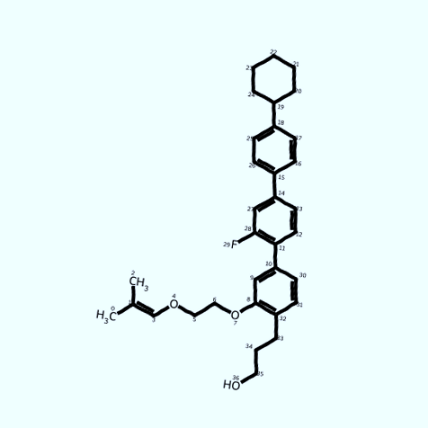 CC(C)=COCCOc1cc(-c2ccc(-c3ccc(C4CCCCC4)cc3)cc2F)ccc1CCCO